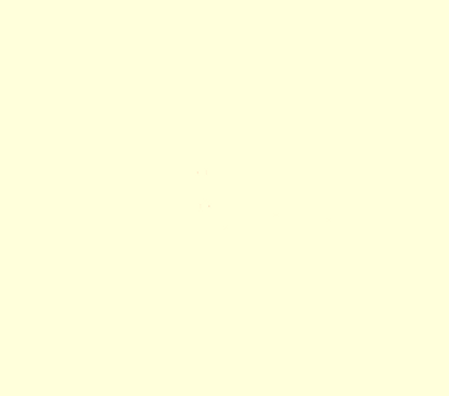 CC(C)C(=O)O.CCCCCCCCCCCCCCC